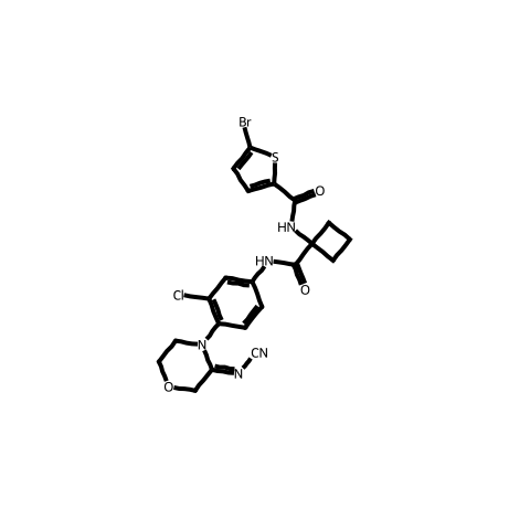 N#C/N=C1/COCCN1c1ccc(NC(=O)C2(NC(=O)c3ccc(Br)s3)CCC2)cc1Cl